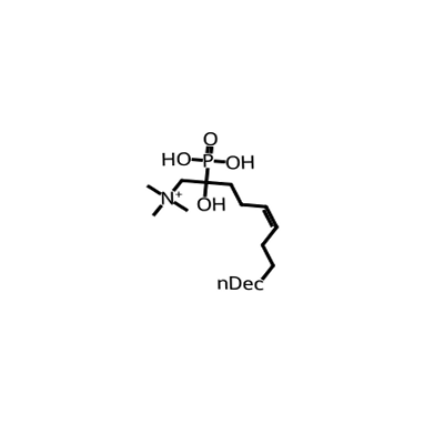 CCCCCCCCCCCC/C=C\CCC(O)(C[N+](C)(C)C)P(=O)(O)O